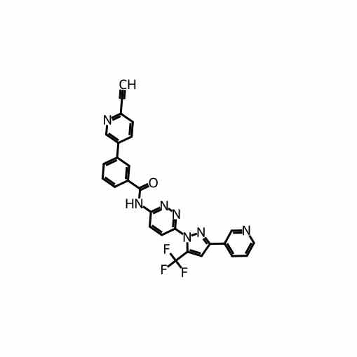 C#Cc1ccc(-c2cccc(C(=O)Nc3ccc(-n4nc(-c5cccnc5)cc4C(F)(F)F)nn3)c2)cn1